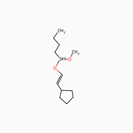 CCCC[SiH](OC)OC=CC1CCCC1